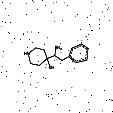 NC(Cc1ccccc1)C1(O)CCNCC1